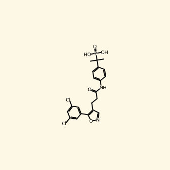 CC(C)(c1ccc(NC(=O)CCc2cnoc2-c2cc(Cl)cc(Cl)c2)cc1)P(=O)(O)O